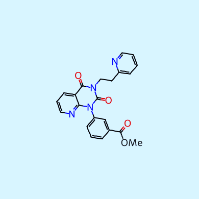 COC(=O)c1cccc(-n2c(=O)n(CCc3ccccn3)c(=O)c3cccnc32)c1